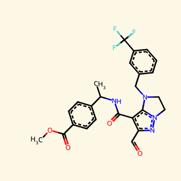 COC(=O)c1ccc(C(C)NC(=O)c2c(C=O)nn3c2N(Cc2cccc(C(F)(F)F)c2)CC3)cc1